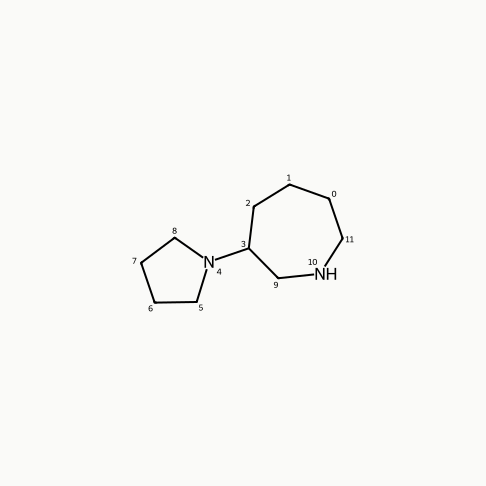 C1CCC(N2CCCC2)CNC1